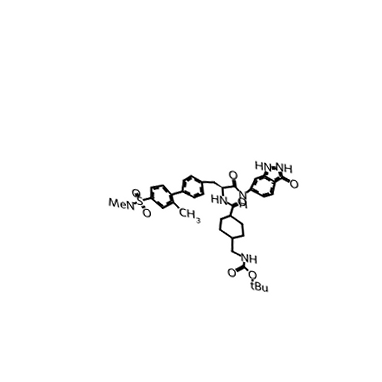 CNS(=O)(=O)c1ccc(-c2ccc(C[C@H](NC(=O)C3CCC(CNC(=O)OC(C)(C)C)CC3)C(=O)Nc3ccc4c(=O)[nH][nH]c4c3)cc2)c(C)c1